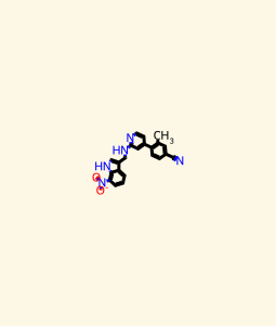 Cc1cc(C#N)ccc1-c1ccnc(NCc2c[nH]c3c([N+](=O)[O-])cccc23)c1